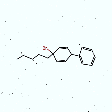 CCCCCC1(Br)C=CC(c2ccccc2)C=C1